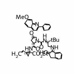 C=C[C@@H]1C[C@]1(NC(=O)[C@@H]1C[C@@H](Oc2cc(-c3ccccc3)nc3cc(OC)ccc23)CN1C(=O)N[C@H](CN[C@H]1c2ccccc2C[C@H]1O)C(C)(C)C)C(=O)OCC